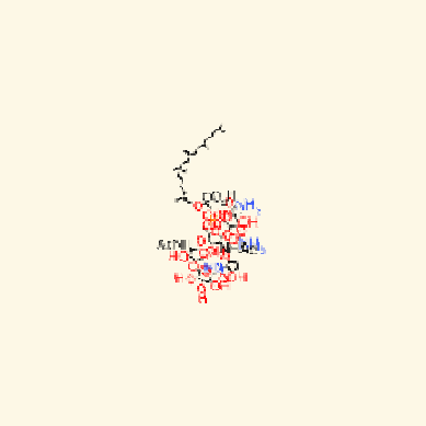 C=C(C/C=C(\C)CCC=C(C)C)CCC(C)(C)/C=C/CC/C(C)=C\CO[C@H](COP(=O)(O)O[C@H]1O[C@H](C(N)=O)[C@@](C)(O)[C@H](OC(N)=O)[C@H]1O[C@@H]1O[C@H](C)[C@@H](O[C@@H]2O[C@H](C)[C@@H](O[C@@H]3O[C@H](C(=O)NC4=C(O)CCC4=O)[C@H](O)[C@H](O)[C@H]3O)[C@H](O)[C@H]2NC(C)=O)[C@H](O)[C@H]1NC(C)=O)C(=O)O